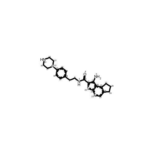 Nc1c(C(=O)NCCc2ccc(N3CCNCC3)cc2)sc2ncc3c(c12)CCC3